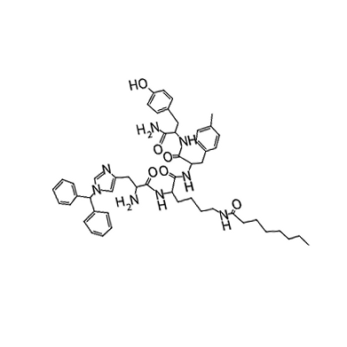 CCCCCCCC(=O)NCCCCC(NC(=O)C(N)Cc1cn(C(c2ccccc2)c2ccccc2)cn1)C(=O)NC(Cc1ccc(C)cc1)C(=O)NC(Cc1ccc(O)cc1)C(N)=O